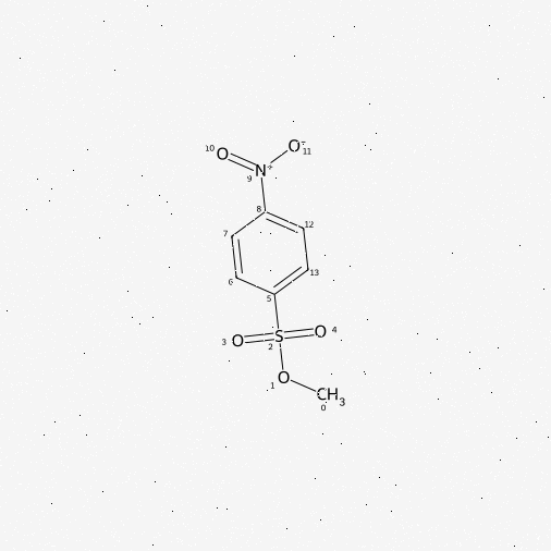 COS(=O)(=O)c1ccc([N+](=O)[O-])cc1